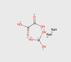 O=C(O)C(=O)O.OB(O)O.[NaH].[NaH]